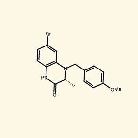 COc1ccc(CN2c3cc(Br)ccc3NC(=O)[C@H]2C)cc1